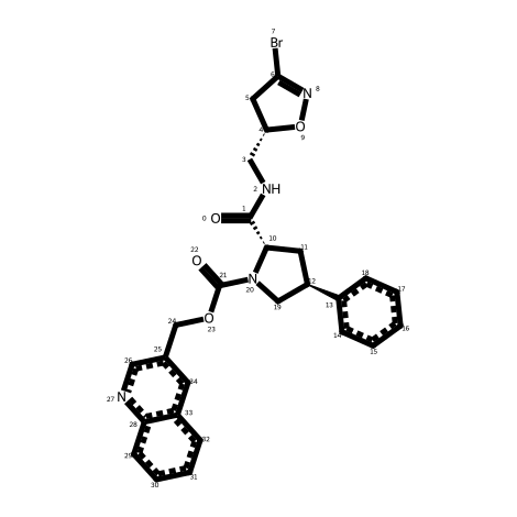 O=C(NC[C@@H]1CC(Br)=NO1)[C@@H]1C[C@@H](c2ccccc2)CN1C(=O)OCc1cnc2ccccc2c1